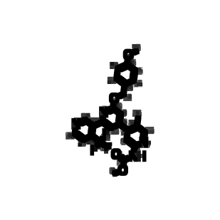 COC(=O)Nc1cc(-c2cc(OCc3ccc(OC)cc3)nc(-c3cnccc3C(F)(F)F)c2)c(C)cn1